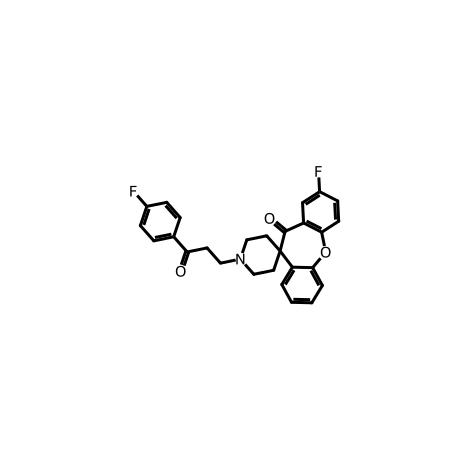 O=C(CCN1CCC2(CC1)C(=O)c1cc(F)ccc1Oc1ccccc12)c1ccc(F)cc1